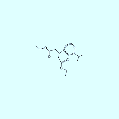 CCOC(=O)CC(CC(=O)OCC)c1cccc(C(C)C)c1